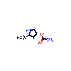 NC(=O)O[C@H]1CN[C@H](C(=O)O)C1